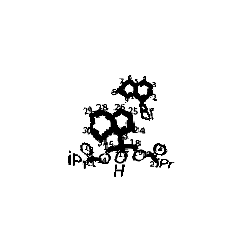 Brc1cccc2ccccc12.CC(C)C(=O)OCC(O)(COC(=O)C(C)C)c1cccc2ccccc12